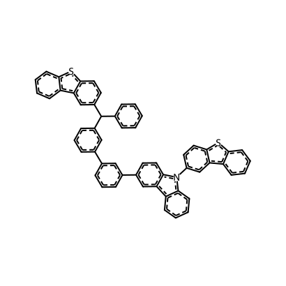 c1ccc(C(c2cccc(-c3cccc(-c4ccc5c(c4)c4ccccc4n5-c4ccc5sc6ccccc6c5c4)c3)c2)c2ccc3sc4ccccc4c3c2)cc1